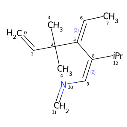 C=CC(C)(C)C(=C/C)/C(=C\N=C)C(C)C